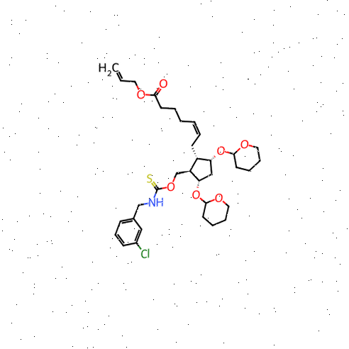 C=CCOC(=O)CCC/C=C\C[C@H]1[C@H](COC(=S)NCc2cccc(Cl)c2)[C@@H](OC2CCCCO2)C[C@H]1OC1CCCCO1